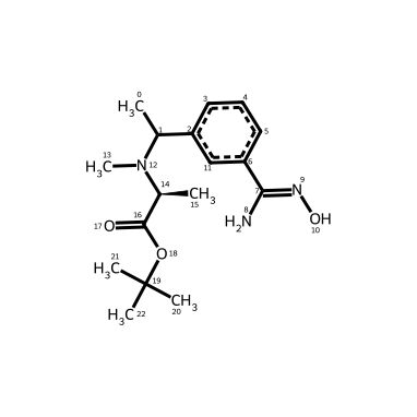 CC(c1cccc(C(N)=NO)c1)N(C)[C@@H](C)C(=O)OC(C)(C)C